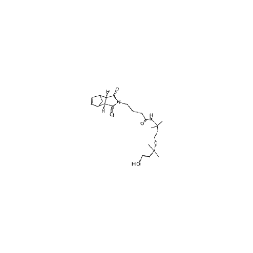 CC(C)(CCOC(C)(C)CCO)NC(=O)CCCN1C(=O)[C@@H]2C3C=CC(C3)[C@@H]2C1=O